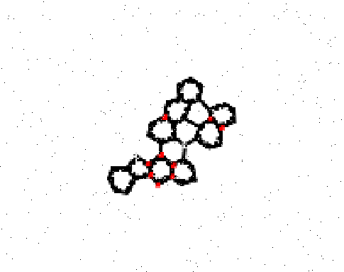 c1ccc(-c2cccc3cccc(-c4ccccc4N(c4ccccc4-c4cccc5c4oc4ccccc45)c4cccc5ccccc45)c23)cc1